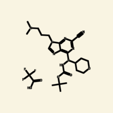 CN(C)CCCn1cnc2c(N(NC(=O)OC(C)(C)C)C3CCOCC3)nc(C#N)nc21.O=C(O)C(F)(F)F